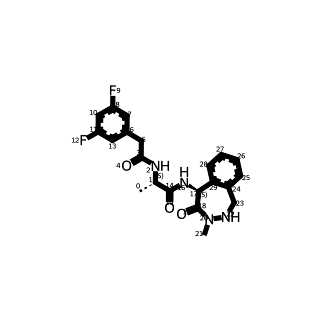 C[C@H](NC(=O)Cc1cc(F)cc(F)c1)C(=O)N[C@@H]1C(=O)N(C)NCc2ccccc21